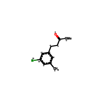 COC(=O)CCc1cc(C)cc(Br)c1